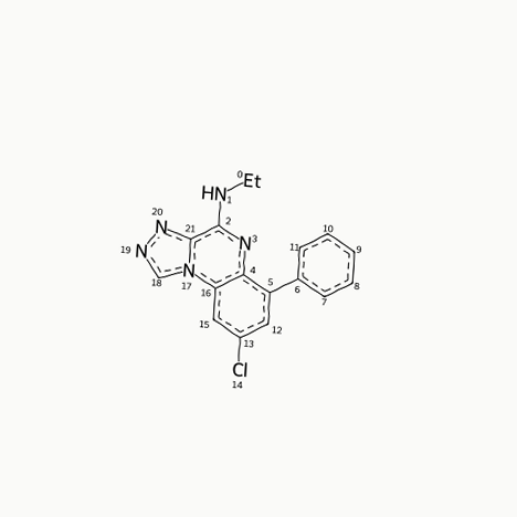 CCNc1nc2c(-c3ccccc3)cc(Cl)cc2n2cnnc12